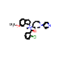 C[N+](C(=O)c1ccccc1Cl)(C1CCCN(c2ccncc2)CC1)[C@@H]1CCc2ccc(OC(=O)O)cc21